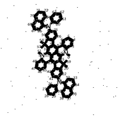 CN1c2ccccc2-c2c3c(c4c5c(c6c(c1c25)C(C)(C)c1cc(N(c2ccccc2)c2cccc5ccccc25)ccc1-6)-c1ccccc1N4C)C(C)(C)c1cc(N(c2ccccc2)c2cccc4ccccc24)ccc1-3